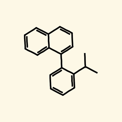 C[C](C)c1ccccc1-c1cccc2ccccc12